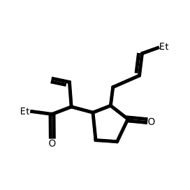 C=CC(C(=O)CC)C1CCC(=O)C1C/C=C/CC